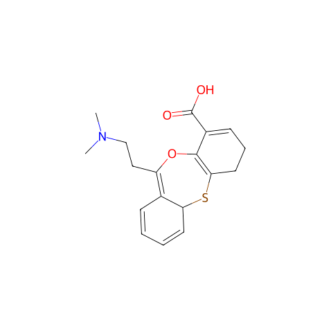 CN(C)CCC1=C2C=CC=CC2SC2=C(O1)C(C(=O)O)=CCC2